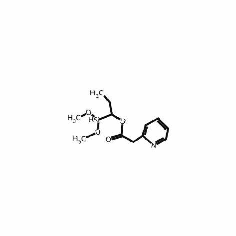 CCC(OC(=O)Cc1ccccn1)[SiH](OC)OC